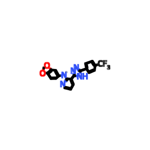 CN(c1ccc2c(c1)OCO2)c1ncccc1-c1nnc(-c2ccc(C(F)(F)F)cc2)[nH]1